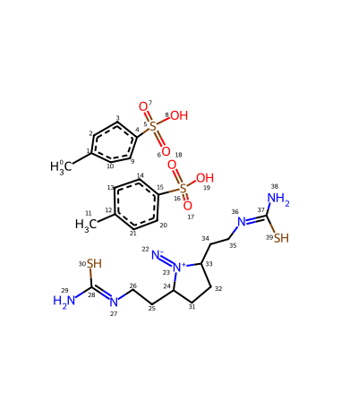 Cc1ccc(S(=O)(=O)O)cc1.Cc1ccc(S(=O)(=O)O)cc1.[N-]=[N+]1C(CCN=C(N)S)CCC1CCN=C(N)S